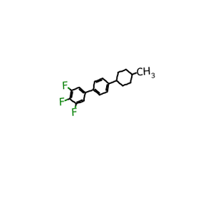 CC1CCC(c2ccc(-c3cc(F)c(F)c(F)c3)cc2)CC1